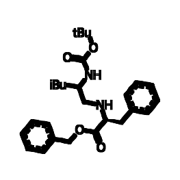 CCC(C)C(CN[C@@H](Cc1ccccc1)C(=O)OCc1ccccc1)NC(=O)OC(C)(C)C